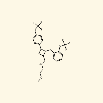 COCCNCC1CC(c2ccc(OC(F)(F)F)cc2)N1Cc1ccccc1OC(F)(F)F